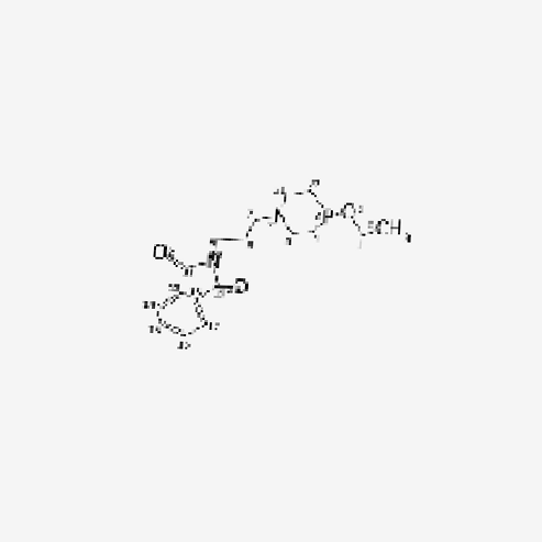 CCOP1CCN(CCCN2C(=O)c3ccccc3C2=O)CC1